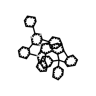 c1ccc(-c2nc(-c3ccccc3)nc(-c3ccccc3-n3c4ccccc4c4c5c6c(ccc5ccc43)-c3ccccc3C6(c3ccccc3)c3ccccc3)n2)cc1